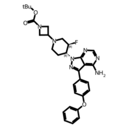 CC(C)(C)OC(=O)N1CC(N2CC[C@@H](n3nc(-c4ccc(Oc5ccccc5)cc4)c4c(N)ncnc43)[C@H](F)C2)C1